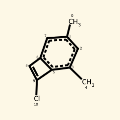 Cc1cc(C)c2c(c1)C=C2Cl